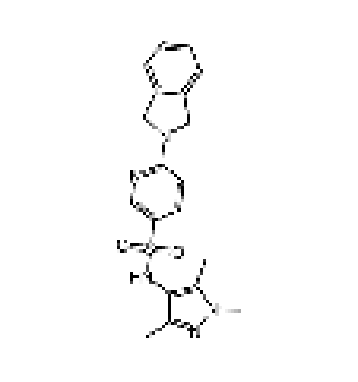 Cc1nn(C)c(C)c1NS(=O)(=O)c1ccc(N2Cc3ccccc3C2)nc1